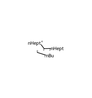 CCCCC.CCCCCCCCCCCCCCC